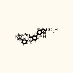 CC(C)n1cnnc1-c1cccc(N2Cc3ccc(-c4ccc5cc(C(=O)O)[nH]c5c4)cc3C2=O)n1